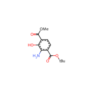 COC(=O)c1ccc(C(=O)OC(C)(C)C)c(N)c1O